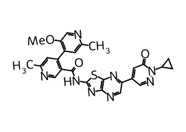 COc1cnc(C)cc1-c1cc(C)ncc1C(=O)Nc1nc2ncc(-c3cnn(C4CC4)c(=O)c3)nc2s1